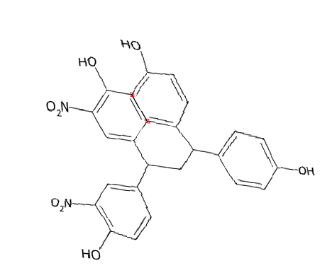 O=[N+]([O-])c1cc(C(CC(c2ccc(O)cc2)c2ccc(O)cc2)c2ccc(O)c([N+](=O)[O-])c2)ccc1O